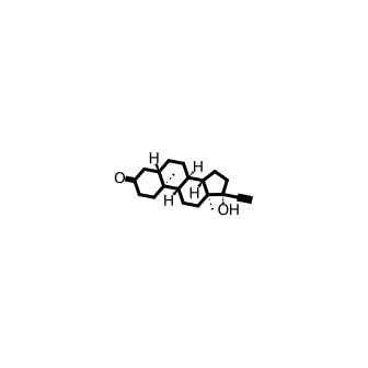 C#C[C@]1(O)CC[C@H]2[C@@H]3CC[C@H]4CC(=O)CC[C@]4(C)[C@H]3CC[C@@]21C